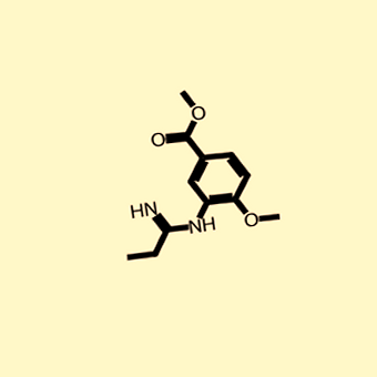 CCC(=N)Nc1cc(C(=O)OC)ccc1OC